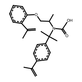 C=C(C)c1ccc(C(C)(C)N(C(=O)O)C(C)COc2ccccc2C(=C)C)cc1